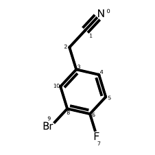 N#CCc1ccc(F)c(Br)c1